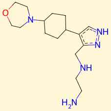 NCCNCc1n[nH]cc1C1CCC(N2CCOCC2)CC1